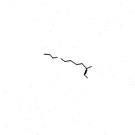 [CH2]CCOCCCCC(C)=CC